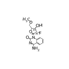 COCC1O[C@@H](n2c(=O)nc(N)c3ccccc32)[C@H](F)[C@@H]1O